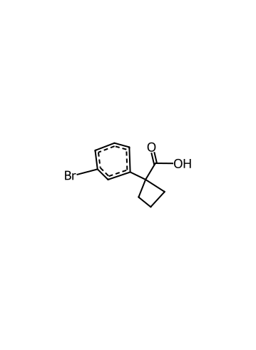 O=C(O)C1(c2cccc(Br)c2)CCC1